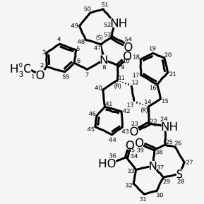 COc1cccc(CN(C(=O)[C@H](CC[C@H](Cc2ccccc2)C(=O)NC2CCSC3CCCC(C(=O)O)N3C2=O)Cc2ccccc2)[C@H]2CCCCNC2=O)c1